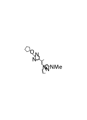 C/C=C\n1nc(NC)cc1/C=C(\C)c1cnc(COC2CCCC2)nc1